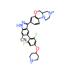 CN1CCC(Oc2cc(F)c(-c3cc4c(-c5ccc6c(c5)OCC5CN(C)CCN65)n[nH]c4cc3C#N)c(F)c2)CC1